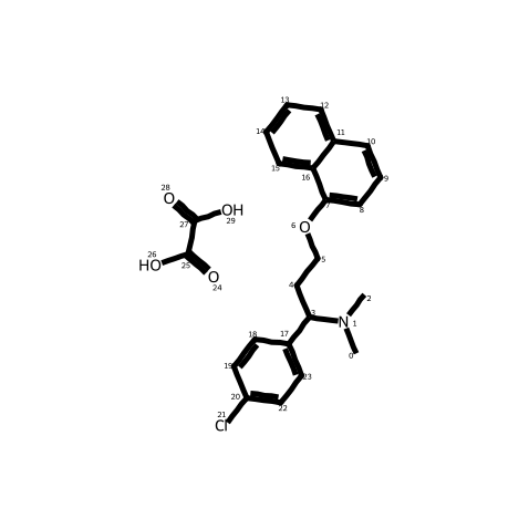 CN(C)C(CCOc1cccc2ccccc12)c1ccc(Cl)cc1.O=C(O)C(=O)O